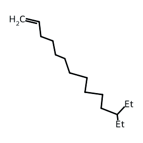 C=CCCCCCCCCCC(CC)CC